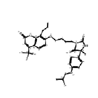 CCCc1c(OCCCCN2C(=O)NC(C)(c3ccc(OCC(C)C)cc3)C2=O)ccc2c(C(F)(F)F)cc(=O)oc12